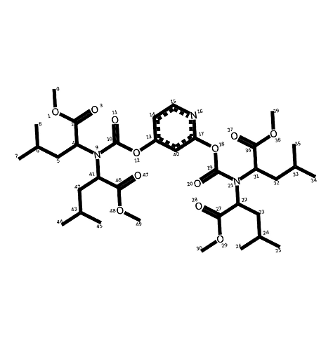 COC(=O)C(CC(C)C)N(C(=O)Oc1ccnc(OC(=O)N(C(CC(C)C)C(=O)OC)C(CC(C)C)C(=O)OC)c1)C(CC(C)C)C(=O)OC